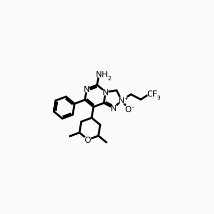 CC1CC(C2=C(c3ccccc3)N=C(N)N3C[N+]([O-])(CCC(F)(F)F)N=C23)CC(C)O1